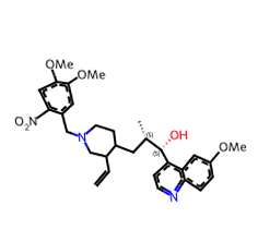 C=CC1CN(Cc2cc(OC)c(OC)cc2[N+](=O)[O-])CCC1C[C@H](C)[C@H](O)c1ccnc2ccc(OC)cc12